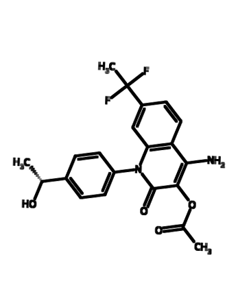 CC(=O)Oc1c(N)c2ccc(C(C)(F)F)cc2n(-c2ccc([C@@H](C)O)cc2)c1=O